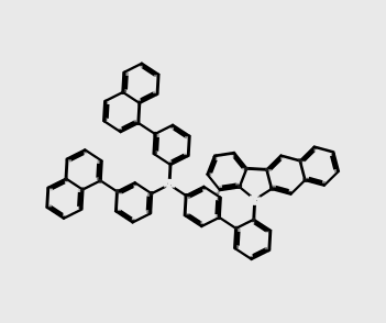 c1cc(-c2cccc3ccccc23)cc(N(c2ccc(-c3ccccc3-n3c4ccccc4c4cc5ccccc5cc43)cc2)c2cccc(-c3cccc4ccccc34)c2)c1